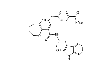 CNC(=O)c1ccc(Cc2cc3c(c(C(=O)N[C@@H](CO)Cc4c[nH]c5ccccc45)c2)OCCCC3)cc1